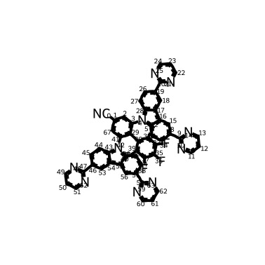 N#Cc1cc(-n2c3ccc(-c4ncccn4)cc3c3cc(-c4ncccn4)ccc32)c(-c2c(F)c(F)c(F)c(F)c2F)c(-n2c3ccc(-c4ncccn4)cc3c3cc(-c4ncccn4)ccc32)c1